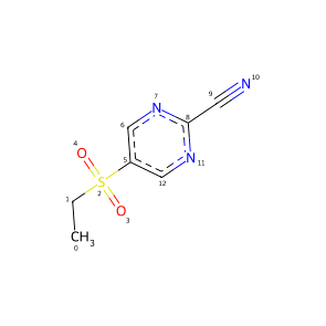 CCS(=O)(=O)c1cnc(C#N)nc1